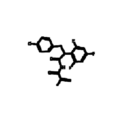 C=C(C)C(=O)NC(=O)C(Cc1ccc(Cl)cc1)c1c(F)cc(F)cc1F